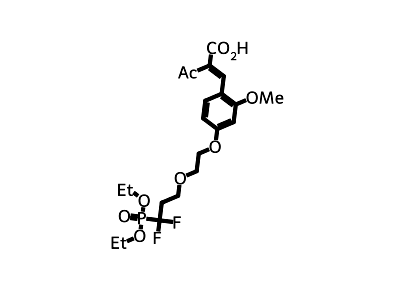 CCOP(=O)(OCC)C(F)(F)CCOCCOc1ccc(/C=C(\C(C)=O)C(=O)O)c(OC)c1